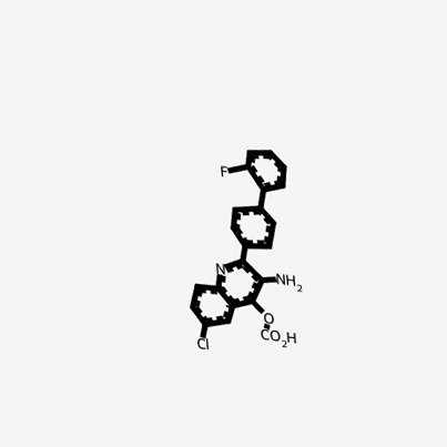 Nc1c(-c2ccc(-c3ccccc3F)cc2)nc2ccc(Cl)cc2c1OC(=O)O